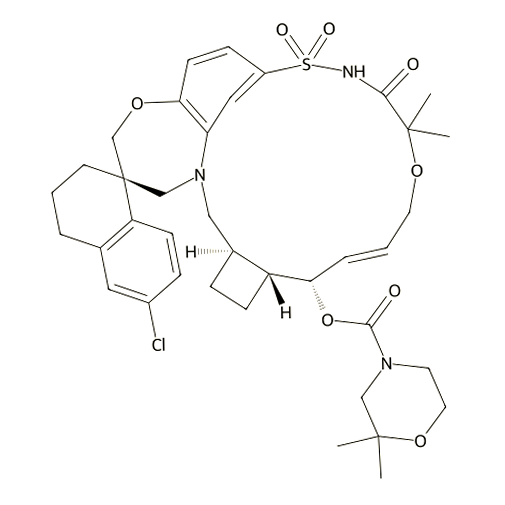 CC1(C)CN(C(=O)O[C@H]2/C=C/COC(C)(C)C(=O)NS(=O)(=O)c3ccc4c(c3)N(C[C@@H]3CC[C@H]32)C[C@@]2(CCCc3cc(Cl)ccc32)CO4)CCO1